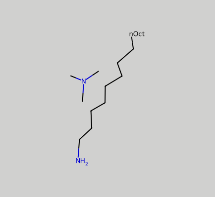 CCCCCCCCCCCCCCCCN.CN(C)C